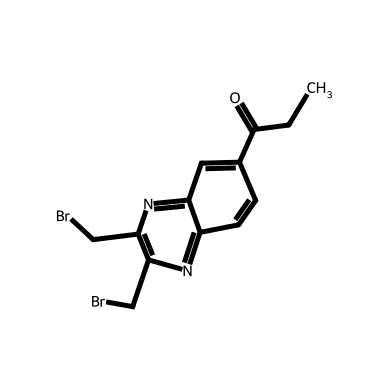 CCC(=O)c1ccc2nc(CBr)c(CBr)nc2c1